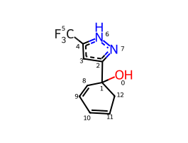 OC1(c2cc(C(F)(F)F)[nH]n2)C=CC=CC1